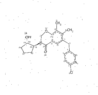 Cc1c(Cc2ccc(Cl)nc2)cc2c(c1C)OCN([C@H]1CCC[C@@H]1O)C2=O